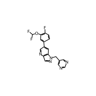 Fc1ccc(-c2cnc3cnn(Cc4cncnc4)c3c2)cc1OC(F)F